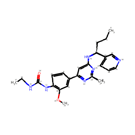 CCC[C@H](Nc1cc(-c2ccc(NC(=O)NCC)c(OC)c2)nc(C)n1)c1cccnc1